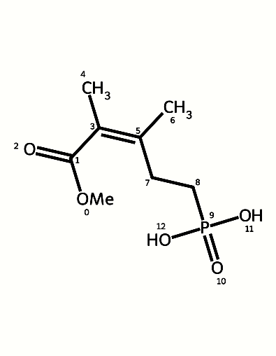 COC(=O)C(C)=C(C)CCP(=O)(O)O